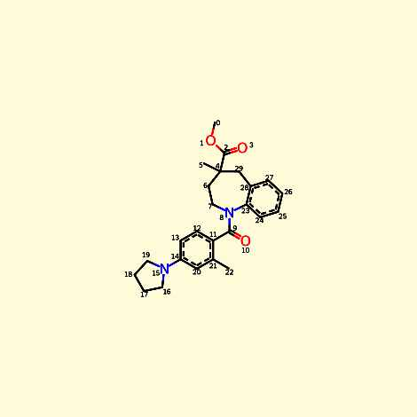 COC(=O)C1(C)CCN(C(=O)c2ccc(N3CCCC3)cc2C)c2ccccc2C1